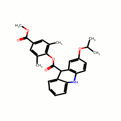 COC(=O)c1cc(C)c(OC(=O)C2c3ccccc3Nc3ccc(OC(C)C)cc32)c(C)c1